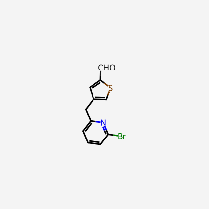 O=Cc1cc(Cc2cccc(Br)n2)cs1